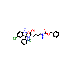 O=C(NCCCC[C@@H](CO)NC1(c2ccccc2Cl)C(=O)Nc2ccc(Cl)cc21)OCc1ccccc1